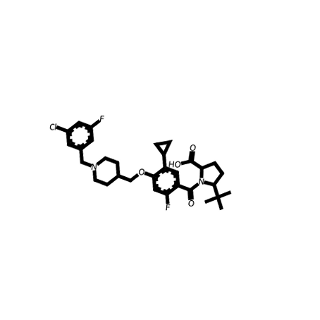 CC(C)(C)C1CCC(C(=O)O)N1C(=O)c1cc(C2CC2)c(OCC2CCN(Cc3cc(F)cc(Cl)c3)CC2)cc1F